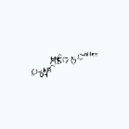 CCCCCCc1ccc(-c2csc(-c3ccc(S(=O)(=O)Nc4ccc(CCNCC(O)c5cccnc5)cc4)cc3)n2)cc1